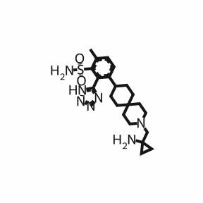 Cc1ccc(C2CCC3(CC2)CCN(CC2(N)CC2)CC3)c(-c2nnn[nH]2)c1S(N)(=O)=O